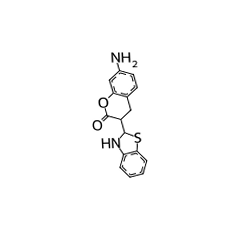 Nc1ccc2c(c1)OC(=O)C(C1Nc3ccccc3S1)C2